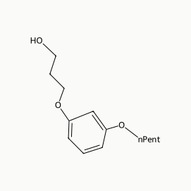 CCCCCOc1cccc(OCCCO)c1